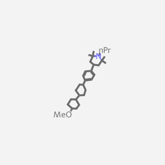 CCCN1C(C)(C)CC(c2ccc(C3CCC(C4CCC(OC)CC4)CC3)cc2)CC1(C)C